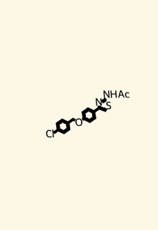 CC(=O)Nc1nc(-c2ccc(OCc3ccc(Cl)cc3)cc2)cs1